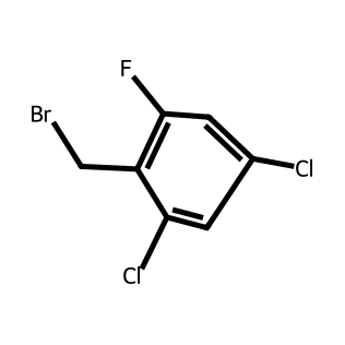 Fc1cc(Cl)cc(Cl)c1CBr